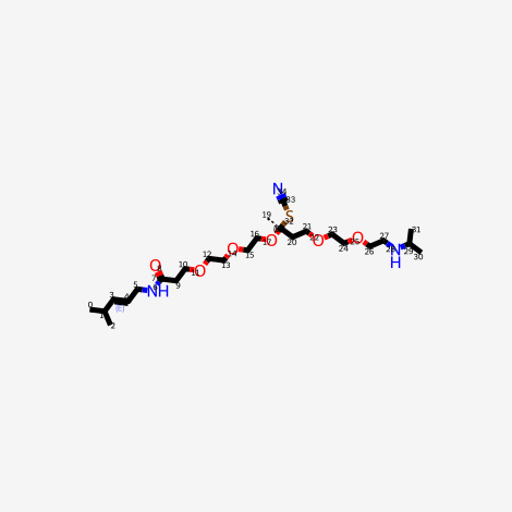 CC(C)/C=C/CNC(=O)CCOCCOCCO[C@](C)(CCOCCOCCNC(C)C)SC#N